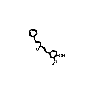 COc1cc(/C=C/C(=O)/C=C/c2ccccc2)ccc1O